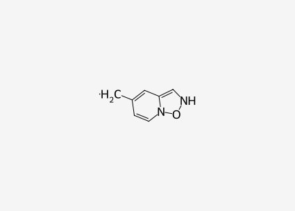 [CH2]C1=CC2=CNON2C=C1